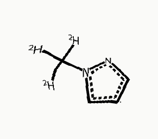 [2H]C([2H])([2H])n1c[c]cn1